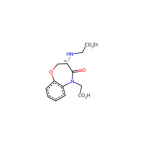 CCOC(=O)CN[C@H]1COc2ccccc2N(CC(=O)O)C1=O